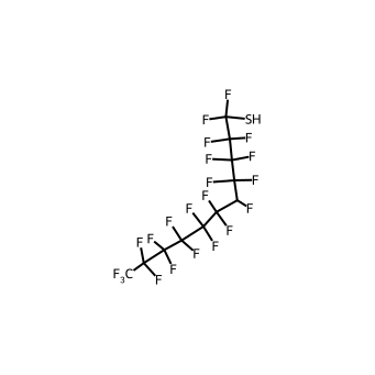 FC(C(F)(F)C(F)(F)C(F)(F)C(F)(F)S)C(F)(F)C(F)(F)C(F)(F)C(F)(F)C(F)(F)C(F)(F)F